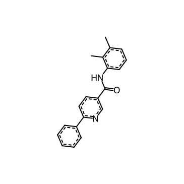 Cc1cccc(NC(=O)c2ccc(-c3ccccc3)nc2)c1C